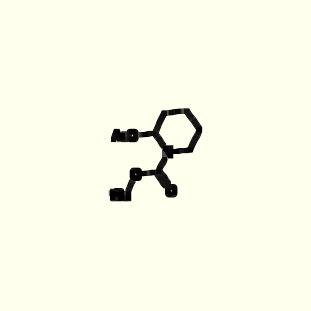 CC(=O)OC1CCCCN1C(=O)OC(C)(C)C